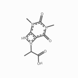 CC(C(=O)O)n1[nH]c2c1c(=O)n(C)c(=O)n2C